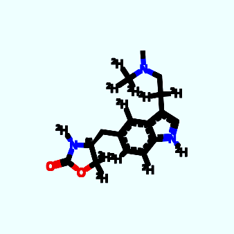 [2H]c1c(C[C@@H]2N([2H])C(=O)OC2([2H])[2H])c([2H])c2c(C([2H])([2H])CN(C)C([2H])([2H])[2H])cn([2H])c2c1[2H]